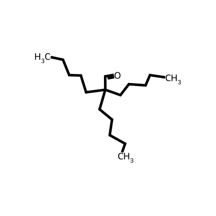 CCCCCC(C=O)(CCCCC)CCCCC